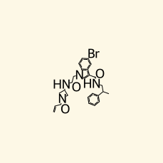 C=CC(=O)N1CC(NC(=O)Cn2cc(C(=O)NCC(C)c3ccccc3)c3cc(Br)ccc32)C1